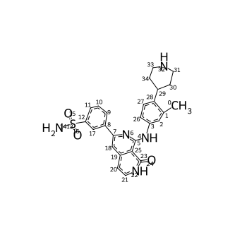 Cc1cc(Nc2nc(-c3cccc(S(N)(=O)=O)c3)cc3cc[nH]c(=O)c23)ccc1C1CCNCC1